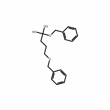 OC(O)(CCCOCc1ccccc1)OCc1ccccc1